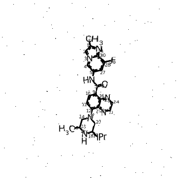 Cc1cn2cc(NC(=O)c3ccc(N4CC(C)NC(C(C)C)C4)c4nccnc34)cc(F)c2n1